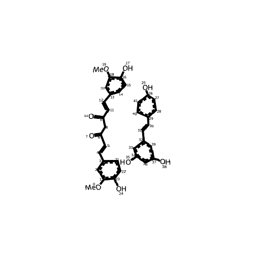 COc1cc(/C=C/C(=O)CC(=O)/C=C/c2ccc(O)c(OC)c2)ccc1O.Oc1ccc(/C=C/c2cc(O)cc(O)c2)cc1